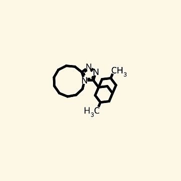 CC1CC2CC(C)CC(c3nnc4n3CCCCCCCCC4)(C1)C2